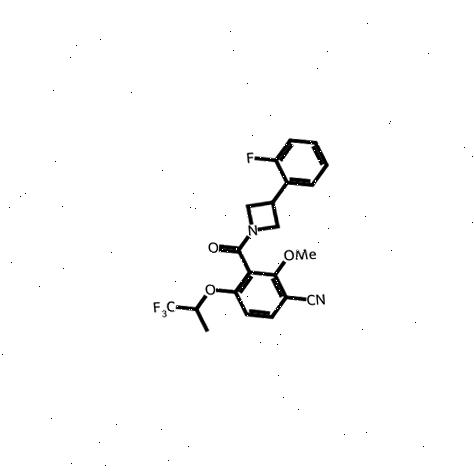 COc1c(C#N)ccc(OC(C)C(F)(F)F)c1C(=O)N1CC(c2ccccc2F)C1